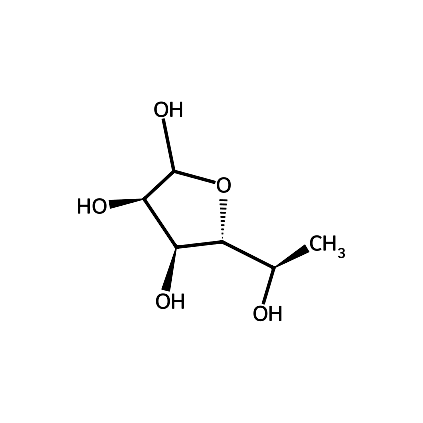 C[C@@H](O)[C@H]1OC(O)[C@H](O)[C@@H]1O